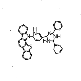 C1=CCCC(C2NC(c3ccccc3)=NC(C3=CNC(n4c5ccccc5c5ccc6c7ccccc7sc6c54)C=C3)N2)=C1